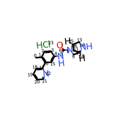 Cc1ccc(NC(=O)N2C[C@H]3C[C@@H]2CN3)cc1-c1ccccn1.Cl